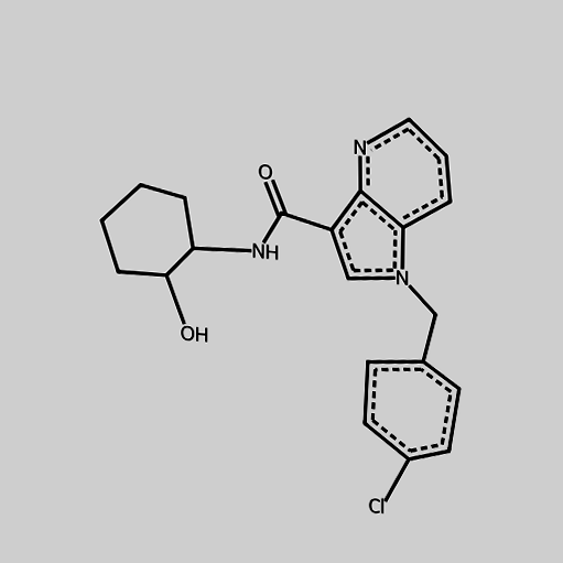 O=C(NC1CCCCC1O)c1cn(Cc2ccc(Cl)cc2)c2cccnc12